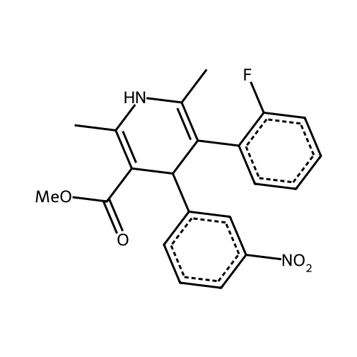 COC(=O)C1=C(C)NC(C)=C(c2ccccc2F)C1c1cccc([N+](=O)[O-])c1